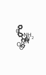 Nc1ncnc2c1c(-c1ccc(Oc3ccccc3)cc1)cn2C1CCOC1=O